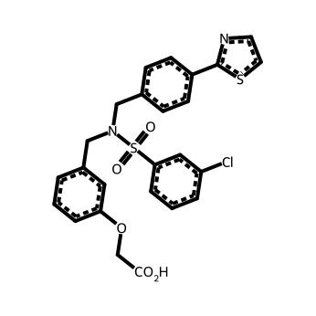 O=C(O)COc1cccc(CN(Cc2ccc(-c3nccs3)cc2)S(=O)(=O)c2cccc(Cl)c2)c1